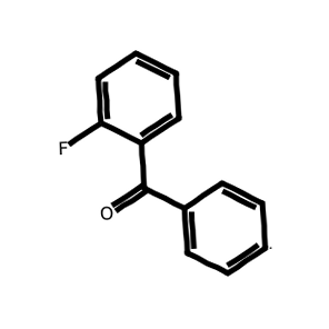 O=C(c1cc[c]cc1)c1ccccc1F